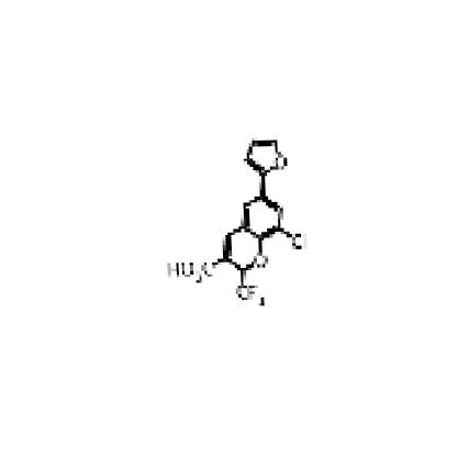 O=C(O)C1=Cc2cc(-c3ccco3)cc(Cl)c2OC1C(F)(F)F